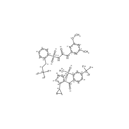 COc1nc(C)nc(NC(=O)NS(=O)(=O)c2ccccc2CCC(F)(F)F)n1.CS(=O)(=O)c1cc(C(F)(F)F)ccc1C(=O)c1cnoc1C1CC1